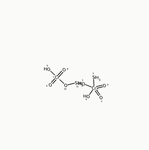 [O]=[Cr](=[O])([OH])([OH])[SiH3].[O]=[Cr](=[O])([OH])[O][SiH3]